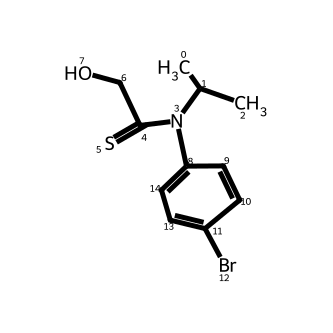 CC(C)N(C(=S)CO)c1ccc(Br)cc1